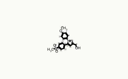 COc1ccc(-n2nc(CO)cc2-c2ccc(S(C)(=O)=O)cc2)cc1